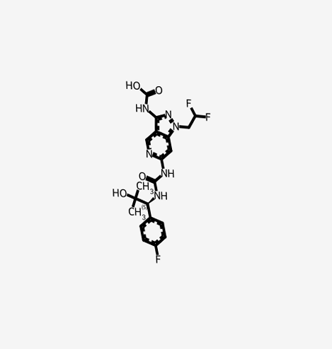 CC(C)(O)[C@@H](NC(=O)Nc1cc2c(cn1)c(NC(=O)O)nn2CC(F)F)c1ccc(F)cc1